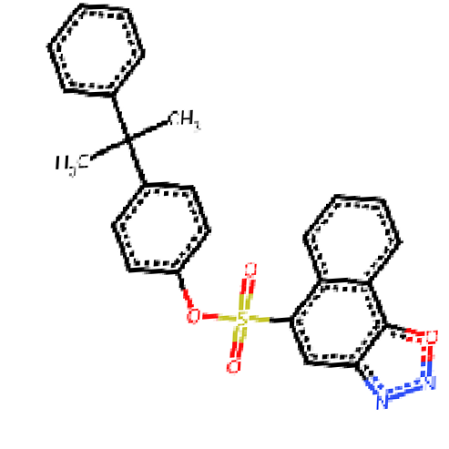 CC(C)(c1ccccc1)c1ccc(OS(=O)(=O)c2cc3nnoc3c3ccccc23)cc1